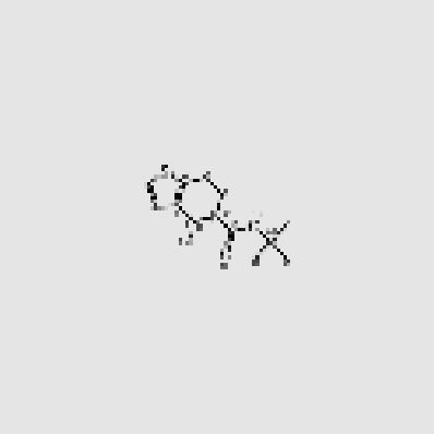 C[C@@H]1c2ccsc2CCN1C(=O)OC(C)(C)C